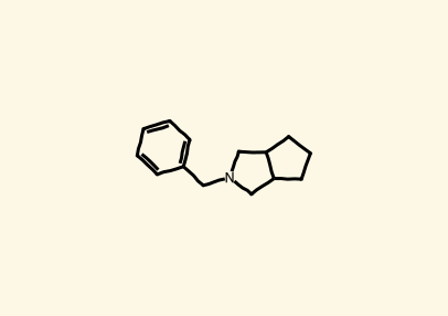 c1ccc(CN2CC3CCCC3C2)cc1